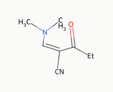 CCC(=O)/C(C#N)=C\N(C)C